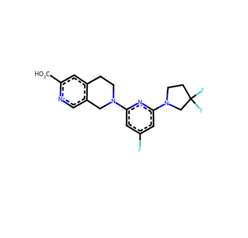 O=C(O)c1cc2c(cn1)CN(c1cc(F)cc(N3CCC(F)(F)C3)n1)CC2